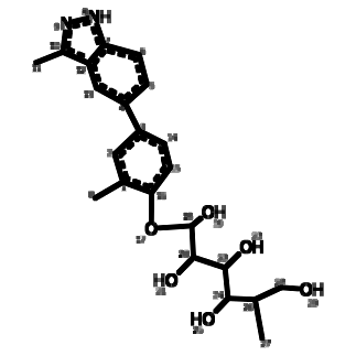 Cc1cc(-c2ccc3[nH]nc(C)c3c2)ccc1OC(O)C(O)C(O)C(O)C(C)CO